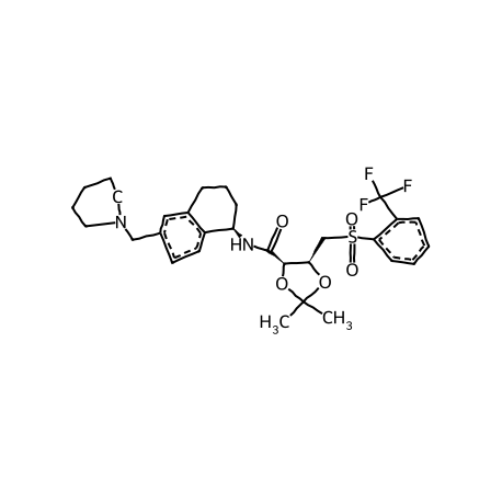 CC1(C)O[C@H](CS(=O)(=O)c2ccccc2C(F)(F)F)[C@H](C(=O)N[C@@H]2CCCc3cc(CN4CCCCC4)ccc32)O1